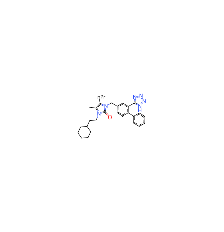 CCCc1c(C)n(CCC2CCCCC2)c(=O)n1Cc1ccc(-c2ccccc2)c(-c2nnn[nH]2)c1